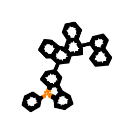 c1ccc(-p2c3ccccc3c3cc(-c4cc5cc(-c6cccc7ccccc67)c6ccccc6c5c5ccccc45)ccc32)cc1